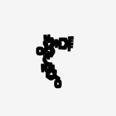 O=Cc1ccc2nc(Cn3ccc4c(N5CCC(F)(F)CC5)cncc4c3=O)cn2c1